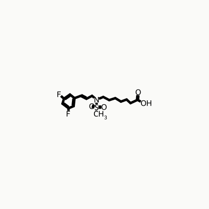 CS(=O)(=O)N(CC=Cc1cc(F)cc(F)c1)CCCCCCC(=O)O